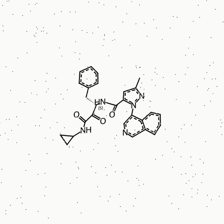 Cc1cc(C(=O)N[C@@H](Cc2ccccc2)C(=O)C(=O)NC2CC2)n(-c2cncc3ccccc23)n1